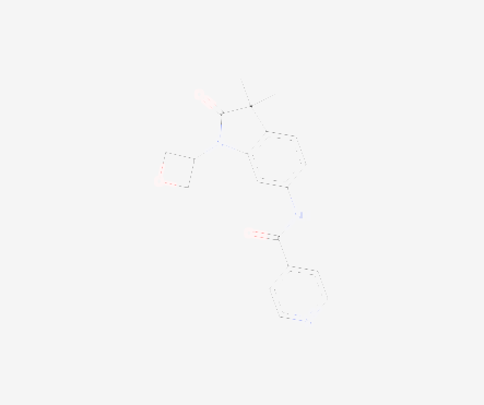 CC1(C)C(=O)N(C2COC2)c2cc(NC(=O)c3ccncc3)ccc21